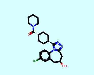 O=C([C@H]1CC[C@H](c2nnc3n2-c2ccc(Br)cc2CC(O)C3)CC1)N1CCCCC1